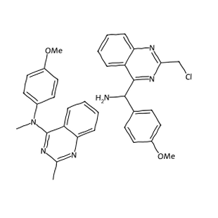 COc1ccc(C(N)c2nc(CCl)nc3ccccc23)cc1.COc1ccc(N(C)c2nc(C)nc3ccccc23)cc1